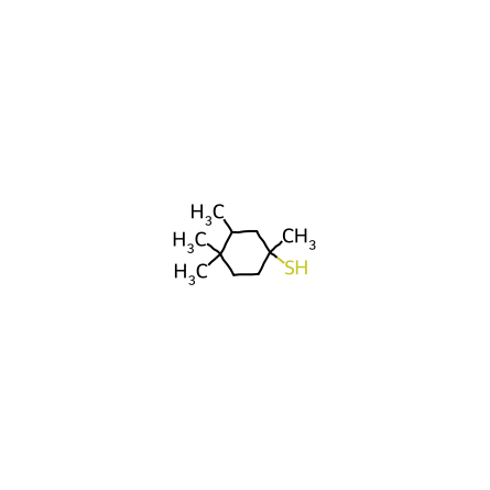 CC1CC(C)(S)CCC1(C)C